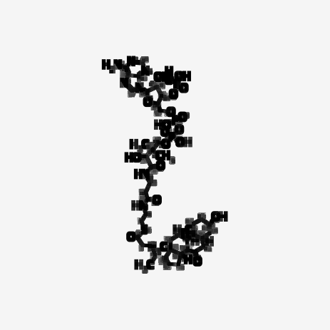 CC(CCC(=O)SCCNC(=O)CCNC(=O)C(O)C(C)(C)COP(=O)(O)OP(=O)(O)OC[C@H]1O[C@@H](n2cnc3c(N)ncnc32)[C@H](O)[C@@H]1OP(=O)(O)O)[C@H]1CC[C@H]2[C@@H]3C(=O)C[C@@H]4C[C@H](O)CC[C@]4(C)[C@H]3CC[C@]12C